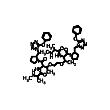 CNC(C)C(=O)NC(C(=O)N1CCCC1Cn1nnnc1Oc1ccccc1)C(C)OCCOC(C)C(NC(=O)C(C)NC)C(=O)N1CCCC1Cn1nnnc1Oc1ccccc1